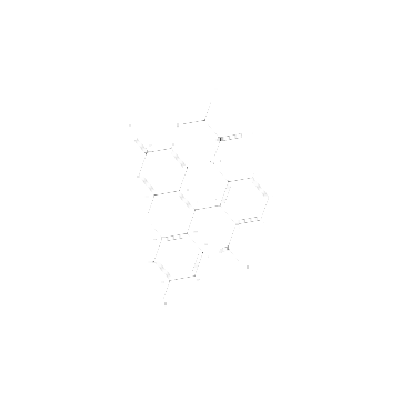 O=C(O)c1cccc(NC(=O)C(F)Br)c1-c1c2ccc(=O)cc-2oc2cc(O)ccc12